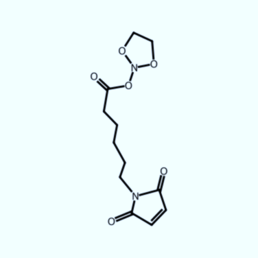 O=C(CCCCCN1C(=O)C=CC1=O)ON1OCCO1